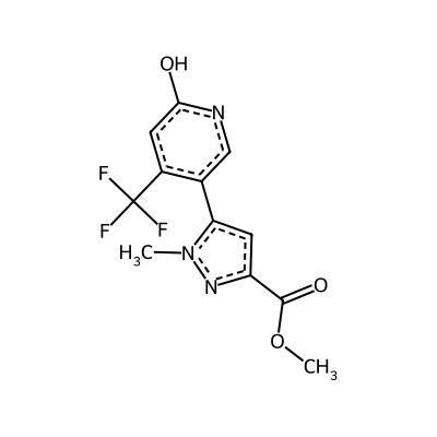 COC(=O)c1cc(-c2cnc(O)cc2C(F)(F)F)n(C)n1